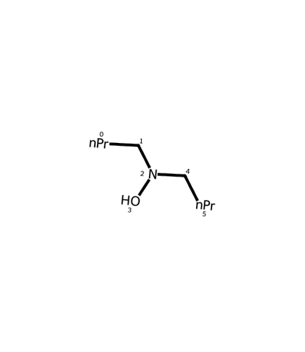 CCCCN(O)CCCC